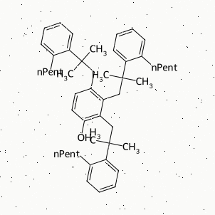 CCCCCc1ccccc1C(C)(C)Cc1ccc(O)c(CC(C)(C)c2ccccc2CCCCC)c1CC(C)(C)c1ccccc1CCCCC